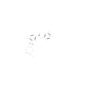 O=C(Nc1ccc(F)c(F)c1)c1ccc(F)c(S(=O)(=O)N2CCC(O)C(F)(F)CC2)c1